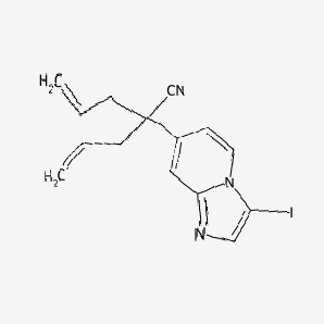 C=CCC(C#N)(CC=C)c1ccn2c(I)cnc2c1